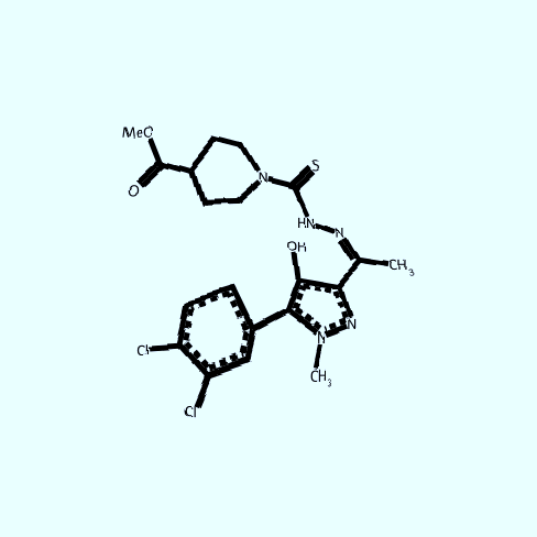 COC(=O)C1CCN(C(=S)NN=C(C)c2nn(C)c(-c3ccc(Cl)c(Cl)c3)c2O)CC1